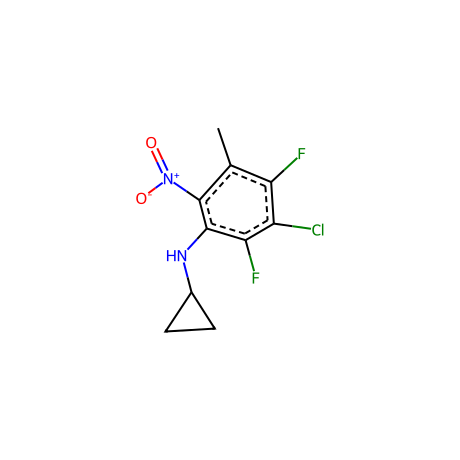 Cc1c(F)c(Cl)c(F)c(NC2CC2)c1[N+](=O)[O-]